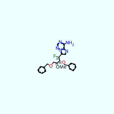 CO[C@H](COCc1ccccc1)[C@@H](OCc1ccccc1)[C@@H](F)c1cnc2c(N)ncnn12